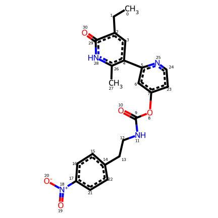 CCc1cc(-c2cc(OC(=O)NCCc3ccc([N+](=O)[O-])cc3)ccn2)c(C)[nH]c1=O